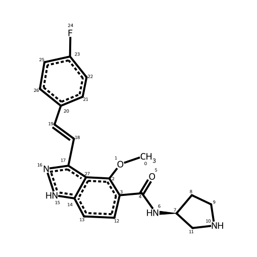 COc1c(C(=O)N[C@H]2CCNC2)ccc2[nH]nc(/C=C/c3ccc(F)cc3)c12